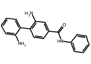 Nc1ccccc1-c1ccc(C(=O)Nc2ccccc2)cc1N